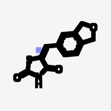 O=C1NC(=O)/C(=C\c2ccc3c(c2)COC3)S1